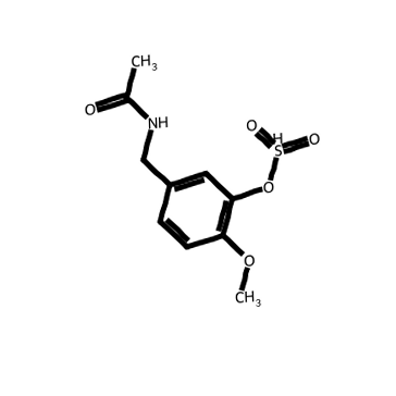 COc1ccc(CNC(C)=O)cc1O[SH](=O)=O